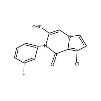 O=Cc1cn2ccc(Cl)c2c(=O)n1-c1cccc(F)c1